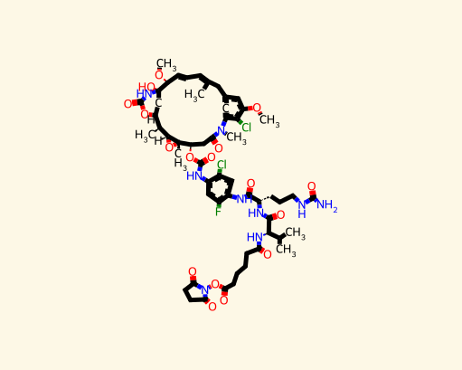 COc1cc2cc(c1Cl)N(C)C(=O)C[C@H](OC(=O)Nc1cc(F)c(NC(=O)[C@H](CCCNC(N)=O)NC(=O)[C@@H](NC(=O)CCCCC(=O)ON3C(=O)CCC3=O)C(C)C)cc1Cl)[C@]1(C)O[C@H]1[C@H](C)[C@@H]1C[C@@](O)(NC(=O)O1)[C@H](OC)/C=C/C=C(\C)C2